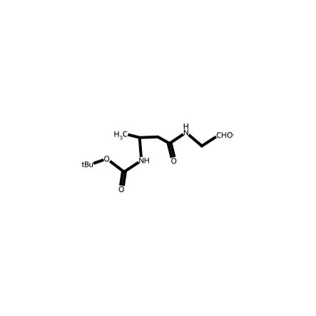 CC(CC(=O)NC[C]=O)NC(=O)OC(C)(C)C